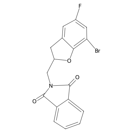 O=C1c2ccccc2C(=O)N1CC1Cc2cc(F)cc(Br)c2O1